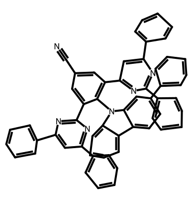 N#Cc1cc(-c2cc(-c3ccccc3)nc(-c3ccccc3)n2)c(-n2c3ccccc3c3ccc(-c4ccccc4)cc32)c(-c2nc(-c3ccccc3)cc(-c3ccccc3)n2)c1